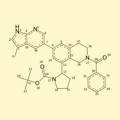 Cc1c[nH]c2ncc(-c3cc4c(c(C5CCCN5C(=O)OC(C)(C)C)c3)CN(C(=O)c3ccccc3)CC4)cc12